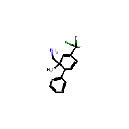 CC1(CN)C=C(C(F)(F)F)C=CC1c1ccccc1